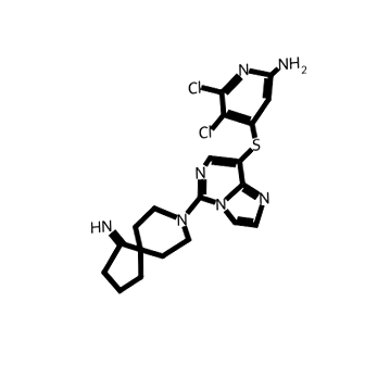 N=C1CCCC12CCN(c1ncc(Sc3cc(N)nc(Cl)c3Cl)c3nccn13)CC2